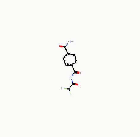 NC(=O)c1ccc(C(=O)NC(=O)C(F)F)cc1